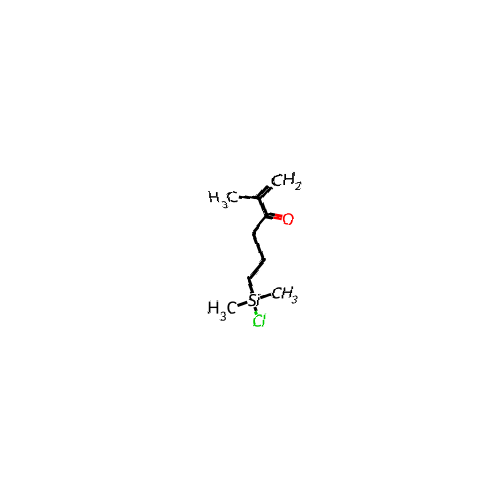 C=C(C)C(=O)CCC[Si](C)(C)Cl